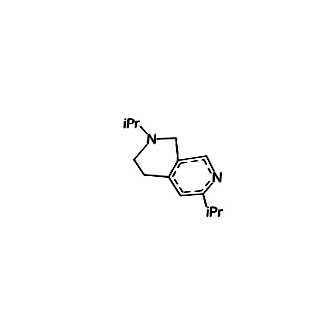 CC(C)c1cc2c(cn1)CN(C(C)C)CC2